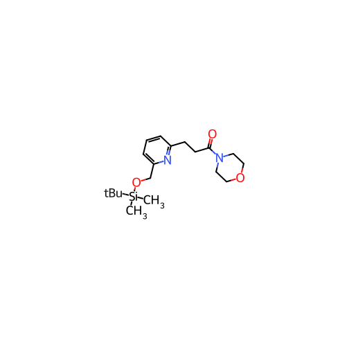 CC(C)(C)[Si](C)(C)OCc1cccc(CCC(=O)N2CCOCC2)n1